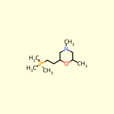 C=P(C)(C)CCC1CN(C)CC(C)O1